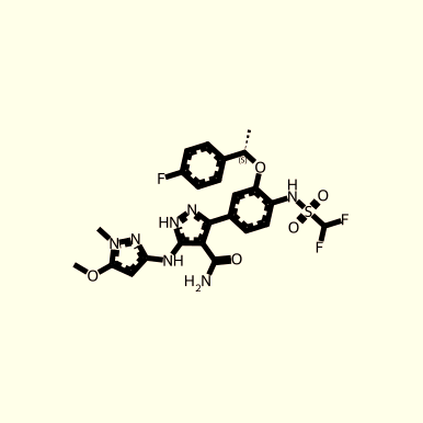 COc1cc(Nc2[nH]nc(-c3ccc(NS(=O)(=O)C(F)F)c(O[C@@H](C)c4ccc(F)cc4)c3)c2C(N)=O)nn1C